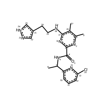 Cc1nc(C(=O)NC(C)c2cccc(Cl)n2)nc(NCCc2cn[nH]c2)c1C